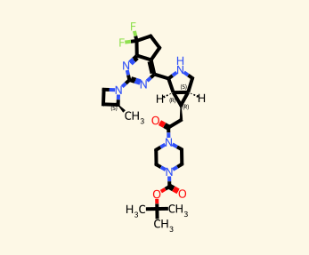 C[C@H]1CCN1c1nc(C2NC[C@H]3[C@@H](CC(=O)N4CCN(C(=O)OC(C)(C)C)CC4)[C@@H]23)c2c(n1)C(F)(F)CC2